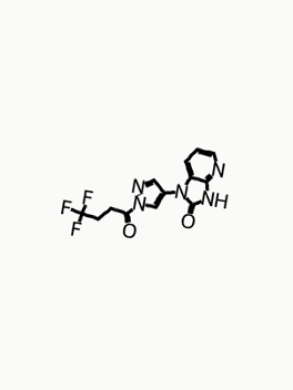 O=C(CCC(F)(F)F)n1cc(-n2c(=O)[nH]c3ncccc32)cn1